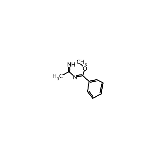 CO/C(=N\C(C)=N)c1ccccc1